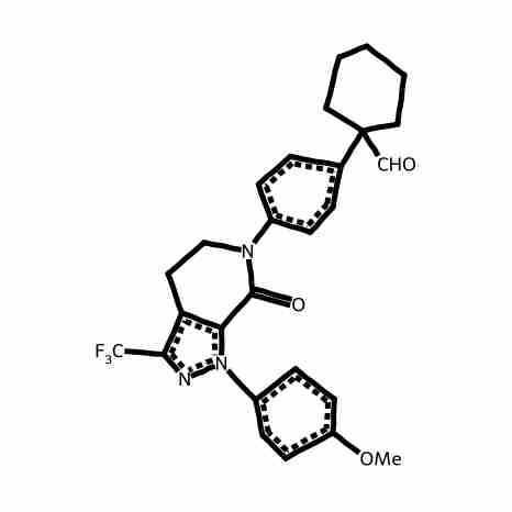 COc1ccc(-n2nc(C(F)(F)F)c3c2C(=O)N(c2ccc(C4(C=O)CCCCC4)cc2)CC3)cc1